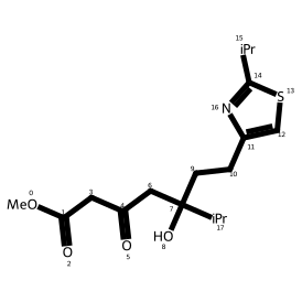 COC(=O)CC(=O)CC(O)(CCc1csc(C(C)C)n1)C(C)C